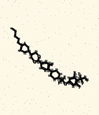 CCCCCC1CCC(C2COC(c3ccc(C4CCC(C(F)(F)Oc5cc(F)c(C(F)(F)CF)c(F)c5)CC4)c(F)c3)OC2)CC1